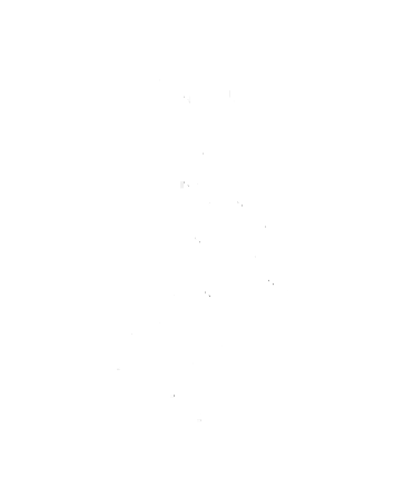 CN(C)CCNc1ncc(N)c(NCc2cccc(Cl)c2Cl)n1